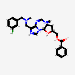 C=N/C=N\c1c(CN(C)Cc2cccc(F)c2)ncn1C1CCC(COC(=O)c2ccccc2)O1